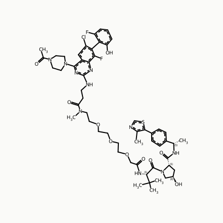 CC(=O)N1CCN(c2nc(NCCC(=O)N(C)CCOCCOCCOCC(=O)N[C@H](C(=O)N3C[C@H](O)C[C@H]3C(=O)N[C@@H](C)c3ccc(-c4scnc4C)cc3)C(C)(C)C)nc3c(F)c(-c4c(O)cccc4F)c(Cl)cc23)CC1